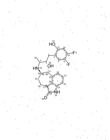 CC(CCc1cc(F)c(F)cc1O)N[C@@H]1CCn2c(=O)[nH]c3cccc(c32)[C@H]1O